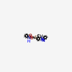 Cc1c(Cn2nnc3ccccc32)cccc1SCCOC(=O)Nc1ccccc1